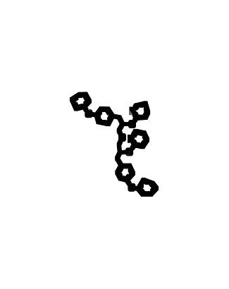 c1ccc(Oc2ccc(CC(COCC(Cc3ccc(Oc4ccccc4)cc3)Oc3ccccn3)Oc3ccccn3)cc2)cc1